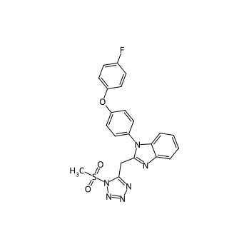 CS(=O)(=O)n1nnnc1Cc1nc2ccccc2n1-c1ccc(Oc2ccc(F)cc2)cc1